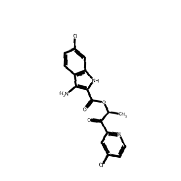 CC(OC(=O)c1[nH]c2cc(Cl)ccc2c1N)C(=O)c1cc(Cl)ccn1